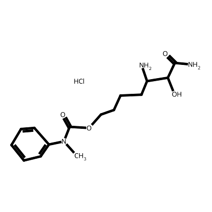 CN(C(=O)OCCCCC(N)C(O)C(N)=O)c1ccccc1.Cl